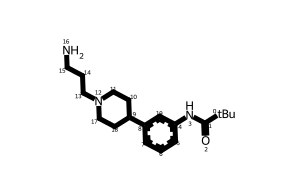 CC(C)(C)C(=O)Nc1cccc(C2CCN(CCCN)CC2)c1